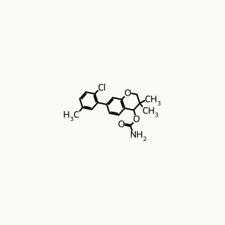 Cc1ccc(Cl)c(-c2ccc3c(c2)OCC(C)(C)C3OC(N)=O)c1